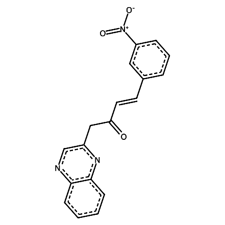 O=C(C=Cc1cccc([N+](=O)[O-])c1)Cc1cnc2ccccc2n1